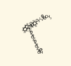 COS(=O)CCCOc1ccc2nc(-c3ccc4ccccc4[n+]3CCOCCOCCOCCOCCC(=O)O)oc2c1